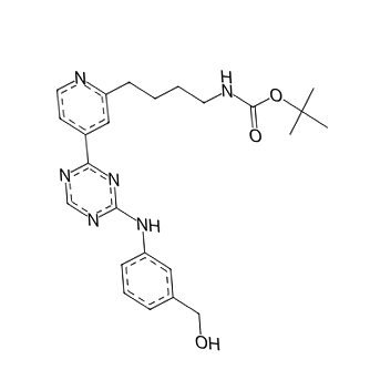 CC(C)(C)OC(=O)NCCCCc1cc(-c2ncnc(Nc3cccc(CO)c3)n2)ccn1